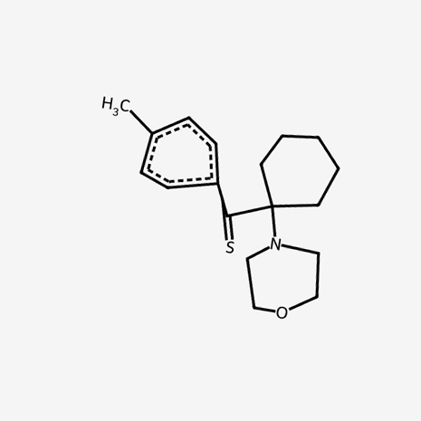 Cc1ccc(C(=S)C2(N3CCOCC3)CCCCC2)cc1